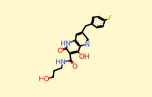 O=C(NCCCO)c1c(O)c2ncc(Cc3ccc(F)cc3)cc2[nH]c1=O